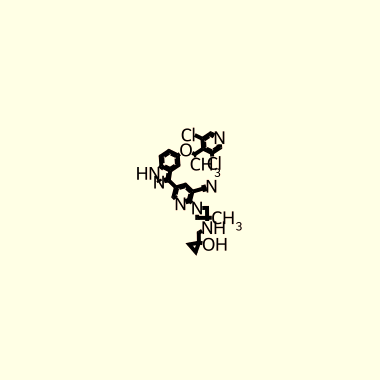 C[C@@H](Oc1ccc2[nH]nc(-c3cnc(N4CC(C)(NCC5(O)CC5)C4)c(C#N)c3)c2c1)c1c(Cl)cncc1Cl